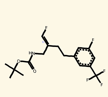 CC(C)(C)OC(=O)NC/C(=C/F)CCc1cc(F)cc(C(F)(F)F)c1